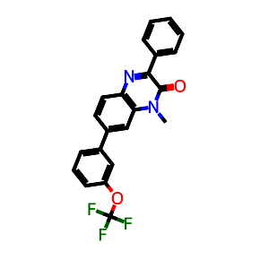 Cn1c(=O)c(-c2ccccc2)nc2ccc(-c3cccc(OC(F)(F)F)c3)cc21